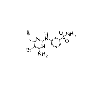 C#CCc1nc(Nc2cccc(S(N)(=O)=O)c2)nc(N)c1Br